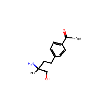 CCCCCCCC(=O)c1ccc(CCC(N)(CO)CCC)cc1